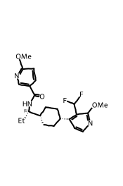 CC[C@H](NC(=O)c1ccc(OC)nc1)[C@H]1CC[C@@H](c2ccnc(OC)c2C(F)F)CC1